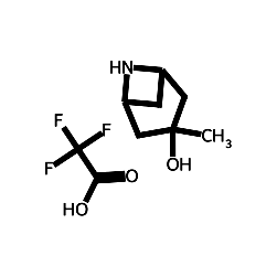 CC1(O)CC2CC(C1)N2.O=C(O)C(F)(F)F